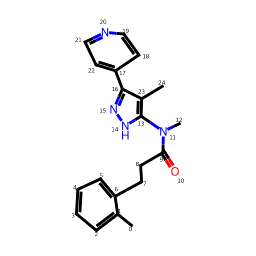 Cc1ccccc1CCC(=O)N(C)c1[nH]nc(-c2ccncc2)c1C